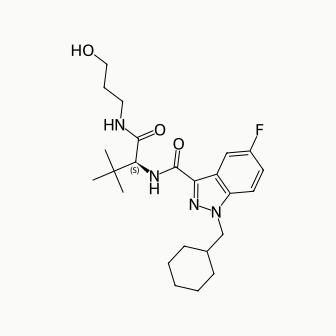 CC(C)(C)[C@H](NC(=O)c1nn(CC2CCCCC2)c2ccc(F)cc12)C(=O)NCCCO